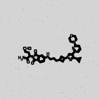 NC(=O)C(CCC=O)N1C(=O)c2ccc(NCCCC3CC(n4cc(-c5cccc(N6CCOCC6)n5)c(C5CC5)n4)C3)cc2C1=O